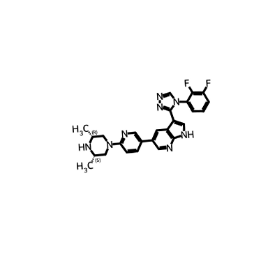 C[C@@H]1CN(c2ccc(-c3cnc4[nH]cc(-c5nncn5-c5cccc(F)c5F)c4c3)cn2)C[C@H](C)N1